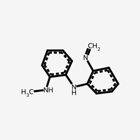 C=Nc1ccccc1Nc1ccccc1NC